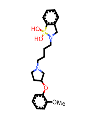 COc1ccccc1OC1CCN(CCCCN2Cc3ccccc3S2(O)O)C1